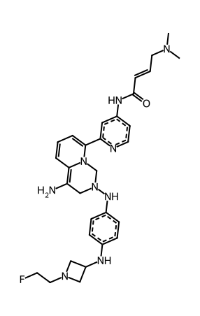 CN(C)C/C=C/C(=O)Nc1ccnc(C2=CC=CC3=C(N)CN(Nc4ccc(NC5CN(CCF)C5)cc4)CN23)c1